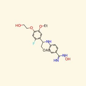 CCOc1cc(C(COC(C)=O)Nc2ccc(C(=N)NO)cc2)c(F)cc1OCCO